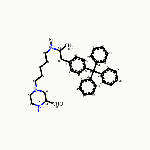 CCN(CCCCCN1CCNC(C=O)C1)C(C)Cc1ccc(C(c2ccccc2)(c2ccccc2)c2ccccc2)cc1